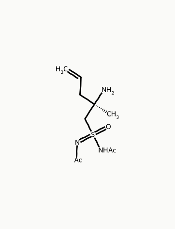 C=CC[C@@](C)(N)CS(=O)(=NC(C)=O)NC(C)=O